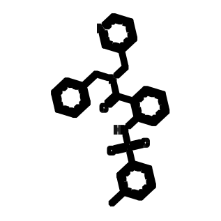 Cc1cccc(S(=O)(=O)Nc2ccccc2C(=O)N(Cc2ccccc2)Cc2cccnc2)c1